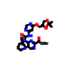 COC(=O)c1ncc2c(n1)N(C(=O)Nc1cc(OCC3COC(C)(C)O3)ncn1)[C@H]1CCCN2C1